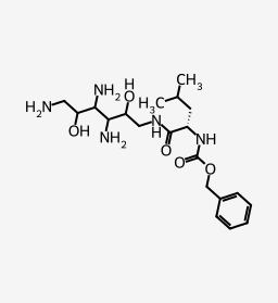 CC(C)C[C@H](NC(=O)OCc1ccccc1)C(=O)NCC(O)C(N)C(N)C(O)CN